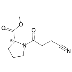 COC(=O)[C@H]1CCCN1C(=O)CCC#N